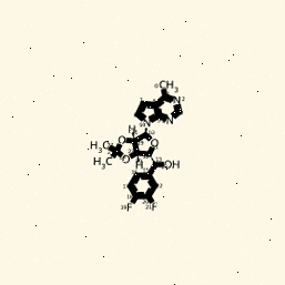 Cc1ncnc2c1ccn2[C@@H]1O[C@H](C(O)c2ccc(F)c(F)c2)[C@H]2OC(C)(C)O[C@H]21